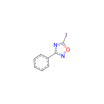 Ic1nc(-c2ccccc2)no1